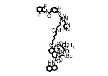 C[C@@H](C(=O)NC(C(=O)N1Cc2cc(OCCCCCC(=O)NCCCn3c(CNc4cccc(C(=O)NCc5c(F)cccc5F)c4)nnc3-c3ccncn3)ccc2C[C@H]1C(=O)N[C@@H]1CCCc2ccccc21)C(C)(C)C)N(C)C(=O)OC(C)(C)C